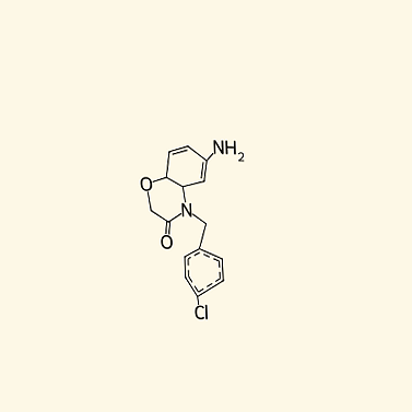 NC1=CC2C(C=C1)OCC(=O)N2Cc1ccc(Cl)cc1